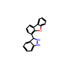 c1ccc2c(c1)NNC2c1cccc2c1oc1ccccc12